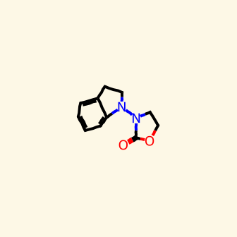 O=C1OCCN1N1CCc2ccccc21